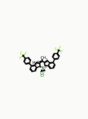 CCC1=Cc2c(-c3ccc(C(F)(F)F)cc3)cccc2[CH]1[Ti+2]1([CH]2C(CC)=Cc3c(-c4ccc(C(F)(F)F)cc4)cccc32)[CH2][CH2]1.[Cl-].[Cl-]